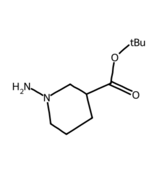 CC(C)(C)OC(=O)C1CCCN(N)C1